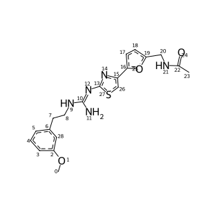 COc1cccc(CCN/C(N)=N/c2nc(-c3ccc(CNC(C)=O)o3)cs2)c1